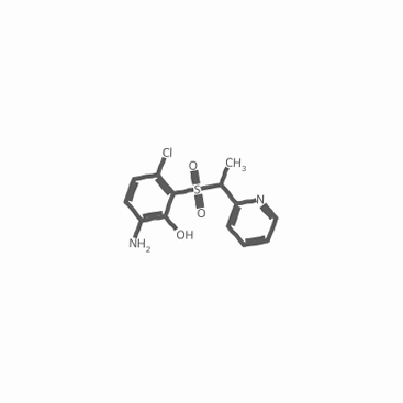 CC(c1ccccn1)S(=O)(=O)c1c(Cl)ccc(N)c1O